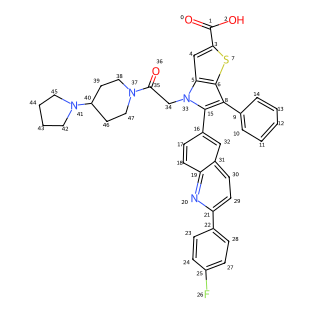 O=C(O)c1cc2c(s1)c(-c1ccccc1)c(-c1ccc3nc(-c4ccc(F)cc4)ccc3c1)n2CC(=O)N1CCC(N2CCCC2)CC1